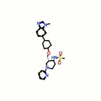 Cn1cnc2ccc(C3CCC(OC[C@H]4CN(c5ccccn5)CC[C@H]4NS(C)(=O)=O)CC3)cc21